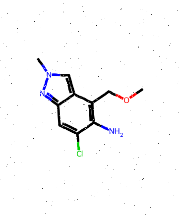 COCc1c(N)c(Cl)cc2nn(C)cc12